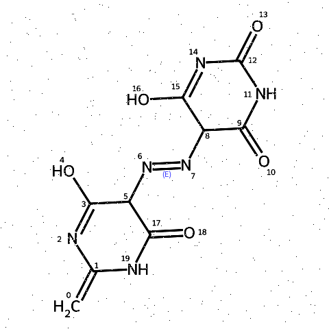 C=C1N=C(O)C(/N=N/C2C(=O)NC(=O)N=C2O)C(=O)N1